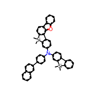 C[Si]1(C)c2ccccc2-c2ccc(N(c3ccc(-c4ccc5ccccc5c4)cc3)c3ccc4c(c3)[Si](C)(C)c3ccc5c(oc6ccccc65)c3-4)cc21